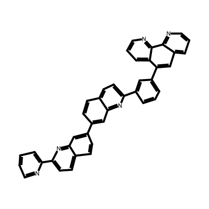 c1ccc(-c2ccc3ccc(-c4ccc5ccc(-c6cccc(-c7cc8cccnc8c8ncccc78)c6)nc5c4)cc3n2)nc1